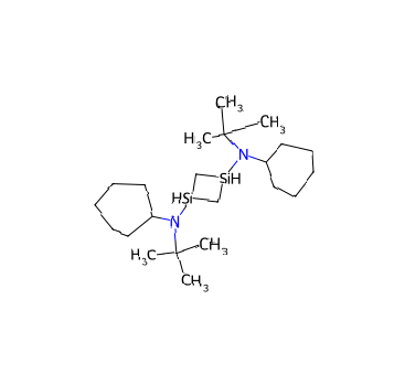 CC(C)(C)N(C1CCCCC1)[SiH]1C[SiH](N(C2CCCCC2)C(C)(C)C)C1